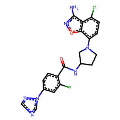 Nc1noc2c(N3CCC(NC(=O)c4ccc(-n5cncn5)cc4F)C3)ccc(Cl)c12